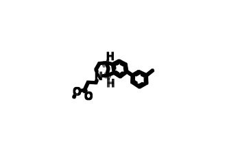 COC(=O)CCN1CC[C@@H]2C[C@H]1c1cc(-c3cccc(C)c3)ccc12